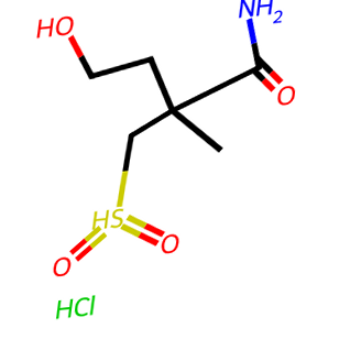 CC(CCO)(C[SH](=O)=O)C(N)=O.Cl